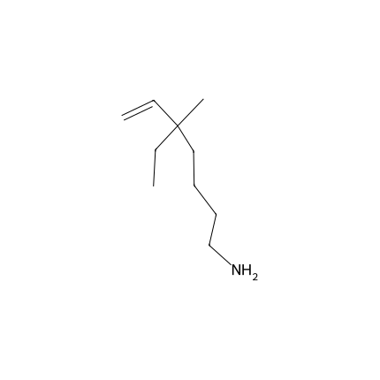 C=CC(C)(CC)CCCCN